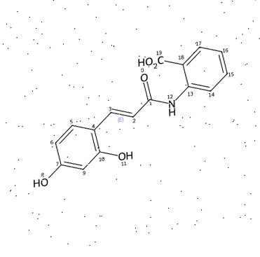 O=C(/C=C/c1ccc(O)cc1O)Nc1ccccc1C(=O)O